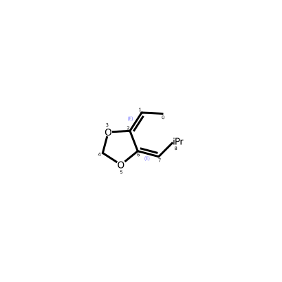 C/C=C1/OCO/C1=C/C(C)C